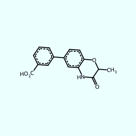 CC1Oc2ccc(-c3cccc(C(=O)O)c3)cc2NC1=O